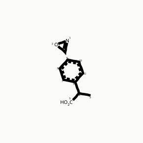 C1=NO1.CC(C(=O)O)c1ccccc1